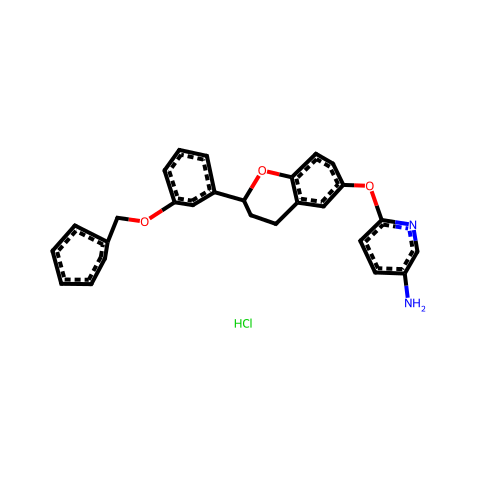 Cl.Nc1ccc(Oc2ccc3c(c2)CCC(c2cccc(OCc4ccccc4)c2)O3)nc1